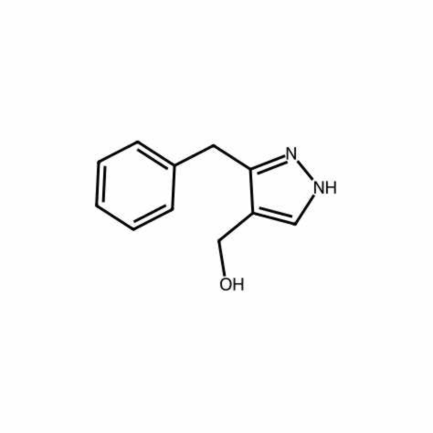 OCc1c[nH]nc1Cc1ccccc1